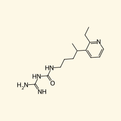 CCc1ncccc1C(C)CCCNC(=O)NC(=N)N